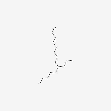 [CH2]CCC=CC(CCC)CCCCCCC[CH2]